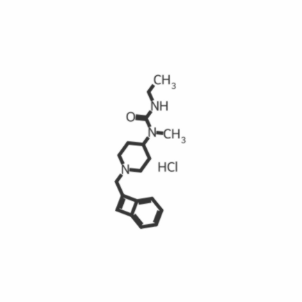 CCNC(=O)N(C)C1CCN(CC2=Cc3ccccc32)CC1.Cl